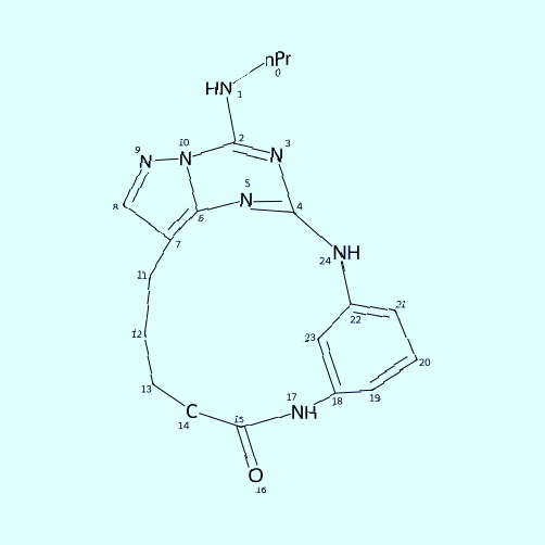 CCCNc1nc2nc3c(cnn13)CCCCC(=O)Nc1cccc(c1)N2